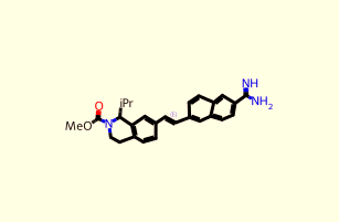 COC(=O)N1CCc2ccc(/C=C/c3ccc4cc(C(=N)N)ccc4c3)cc2C1C(C)C